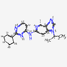 CC(C)n1cnc2cnc(Nc3ccnc(C4=CCCCC4)n3)cc21